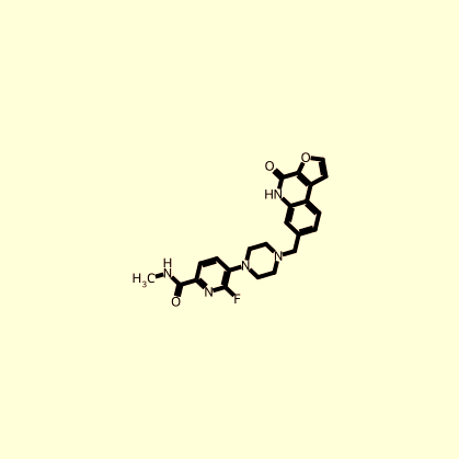 CNC(=O)c1ccc(N2CCN(Cc3ccc4c(c3)[nH]c(=O)c3occc34)CC2)c(F)n1